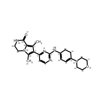 Cc1c(-c2ccnc(NC3=CC=C(N4CCOCC4)CC3)n2)c(C)n2c1C(=O)NCC2